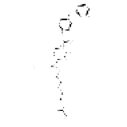 CCCCCCCC(CC)C(=O)OCCCCCCN(C(=O)O)C1CCN(C(=O)Oc2ccc(Cc3ccccc3)cc2)CC1